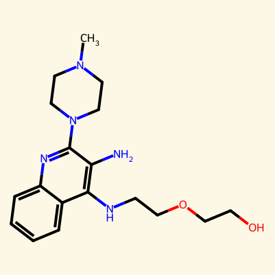 CN1CCN(c2nc3ccccc3c(NCCOCCO)c2N)CC1